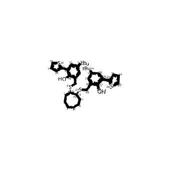 CC(C)(C)c1cc(CS[C@H]2CCCCCC[C@@H]2SCc2cc(C(C)(C)C)cc(-c3cccs3)c2O)c(O)c(-c2cccs2)c1